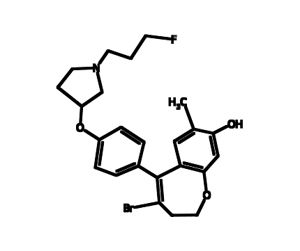 Cc1cc2c(cc1O)OCCC(Br)=C2c1ccc(OC2CCN(CCCF)C2)cc1